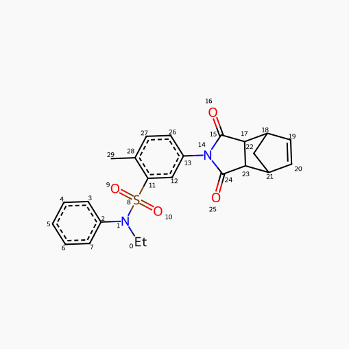 CCN(c1ccccc1)S(=O)(=O)c1cc(N2C(=O)C3C4C=CC(C4)C3C2=O)ccc1C